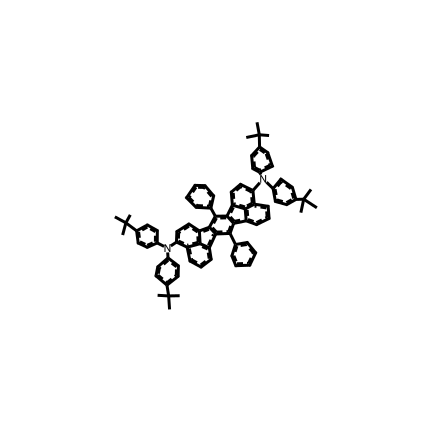 CC(C)(C)c1ccc(N(c2ccc(C(C)(C)C)cc2)c2ccc3c4c(-c5ccccc5)c5c6ccc(N(c7ccc(C(C)(C)C)cc7)c7ccc(C(C)(C)C)cc7)c7cccc(c5c(-c5ccccc5)c4c4cccc2c43)c76)cc1